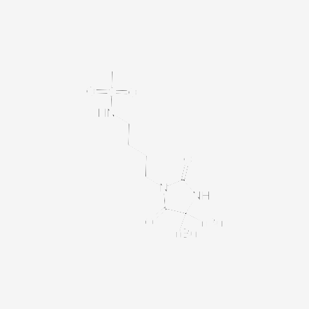 CCCCC1(CCCC)NC(=O)N(CCCCNS(C)(=O)=O)C1=O